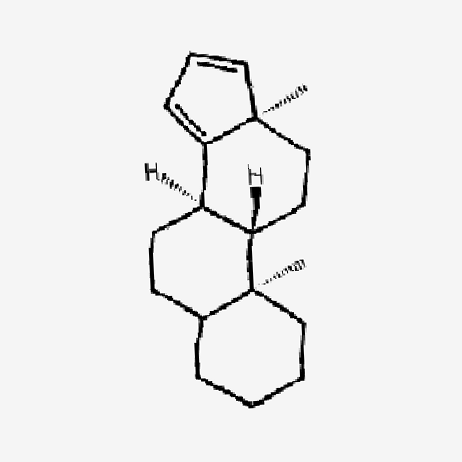 C[C@@]12C=CC=C1[C@@H]1CCC3CCCC[C@]3(C)[C@H]1CC2